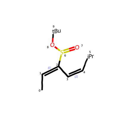 C/C=C(\C=C/C(C)C)S(=O)OC(C)(C)C